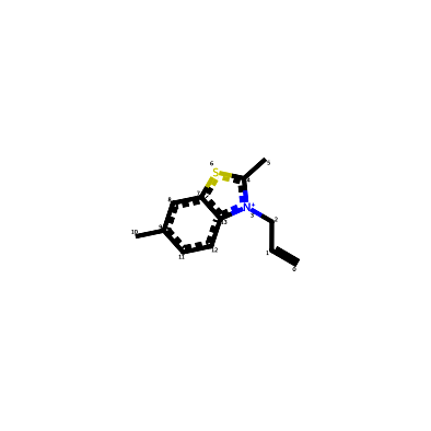 C=CC[n+]1c(C)sc2cc(C)ccc21